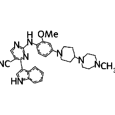 COc1cc(N2CCC(N3CCN(C)CC3)CC2)ccc1Nc1ncc(C#N)c(-c2c[nH]c3ccccc23)n1